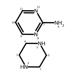 C1CNCCN1.Nc1ncccn1